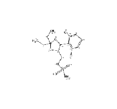 CCC1(CC)OC(COS(N)(=O)=O)C(c2c(Cl)cccc2Cl)O1